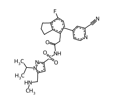 CNCc1cc(S(=O)(=O)NC(=O)Cc2c(-c3ccnc(C#N)c3)cc(F)c3c2CCC3)nn1C(C)C